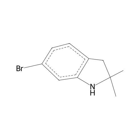 CC1(C)Cc2ccc(Br)cc2N1